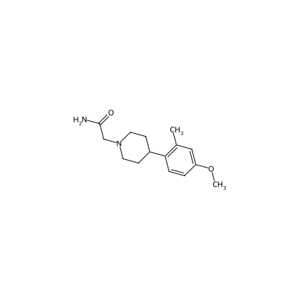 COc1ccc(C2CCN(CC(N)=O)CC2)c(C)c1